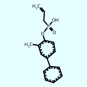 C=CCP(=O)(O)Oc1ccc(-c2ccccc2)cc1C